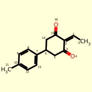 CC=C1C(=O)CC(c2ccc(C)cc2)CC1=O